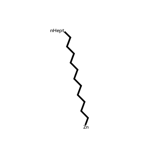 CCCCCCCCCCCCCCCCC[CH2][Zn]